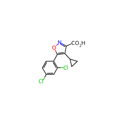 O=C(O)c1noc(-c2ccc(Cl)cc2Cl)c1C1CC1